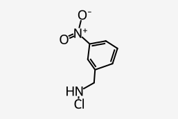 O=[N+]([O-])c1cccc(CNCl)c1